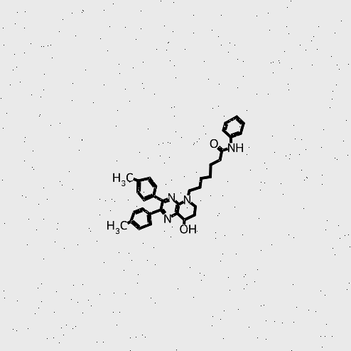 Cc1ccc(-c2nc3c(nc2-c2ccc(C)cc2)N(CCCCCCC(=O)Nc2ccccc2)CCC3O)cc1